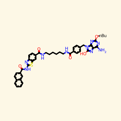 CCCCOc1nc(N)c2nc(O)n(Cc3ccc(C(=O)NCCCCCCNC(=O)c4ccc5nc(NC(=O)c6ccc7ccccc7c6)sc5c4)cc3)c2n1